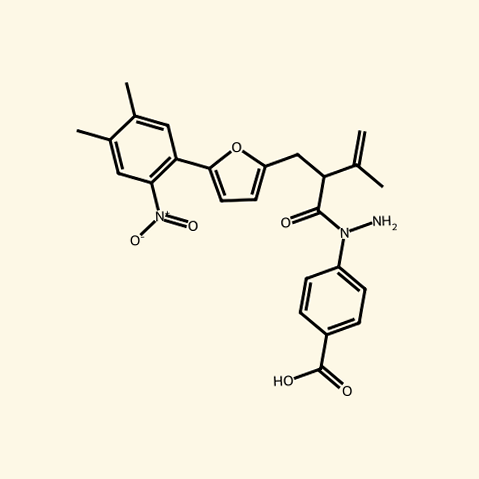 C=C(C)C(Cc1ccc(-c2cc(C)c(C)cc2[N+](=O)[O-])o1)C(=O)N(N)c1ccc(C(=O)O)cc1